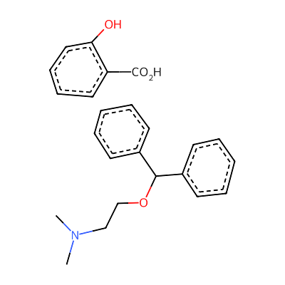 CN(C)CCOC(c1ccccc1)c1ccccc1.O=C(O)c1ccccc1O